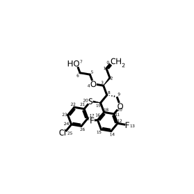 C=CC[C@H](OCCO)[C@@H]1COc2c(F)ccc(F)c2[C@H]1Sc1ccc(Cl)cc1